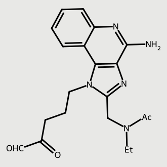 CCN(Cc1nc2c(N)nc3ccccc3c2n1CCCC(=O)C=O)C(C)=O